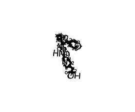 CC(C)(O)CC1CCN(CC(=O)Nc2nc(-c3ccco3)c(C(=O)C3CCOCC3)s2)CC1